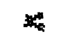 CCn1cc(CCN(C)C)c2c(OCc3ccsc3)cc(F)cc21